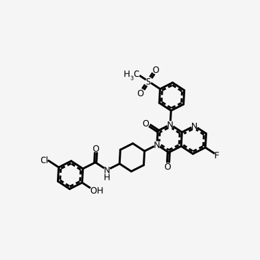 CS(=O)(=O)c1cccc(-n2c(=O)n(C3CCC(NC(=O)c4cc(Cl)ccc4O)CC3)c(=O)c3cc(F)cnc32)c1